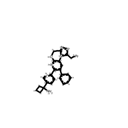 CC(C)Cc1nnc2n1-c1cc(-c3ccccc3)c(-c3ccc(C4(N)CCC4)cc3)nc1OC2